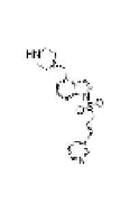 O=S(=O)(CC=Cc1cccnc1)n1ccc2c(CN3CCNCC3)cccc21